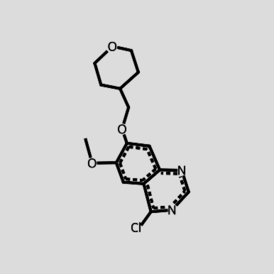 COc1cc2c(Cl)ncnc2cc1OCC1CCOCC1